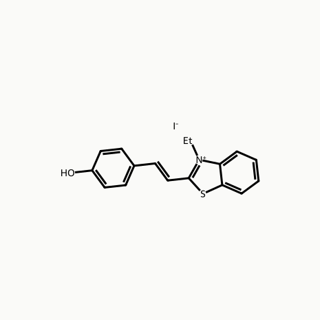 CC[n+]1c(/C=C/c2ccc(O)cc2)sc2ccccc21.[I-]